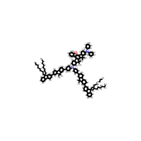 CCCCCCCCC1(CCCCCCCC)c2ccccc2-c2ccc(-c3ccc4c(c3)C(C)(C)c3cc(-c5ccc(N(c6ccc(-c7ccc8c(c7)C(C)(C)c7cc(-c9ccc%10c(c9)C(CCCCCCCC)(CCCCCCCC)c9ccccc9-%10)ccc7-8)cc6)c6ccc7c(c6)C(C)(C)c6c8c(c9oc%10ccccc%10c9c6-7)-c6ccc(N(c7ccccc7)c7ccccc7)cc6C8(C)C)cc5)ccc3-4)cc21